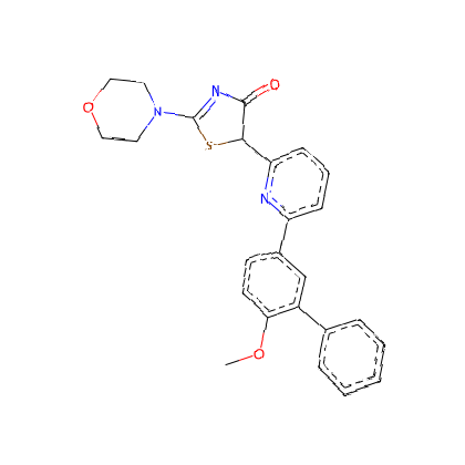 COc1ccc(-c2cccc(C3SC(N4CCOCC4)=NC3=O)n2)cc1-c1ccccc1